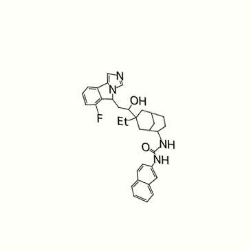 CCC1(C(O)CC2c3c(F)cccc3-c3cncn32)CC2CCC(NC(=O)Nc3ccc4ccccc4c3)C(C2)C1